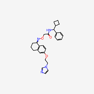 O=C(CO/N=C1/CCCc2cc(OCCn3ccnc3)ccc21)NC(c1ccccc1)C1CCC1